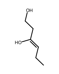 CCC=C(O)CCO